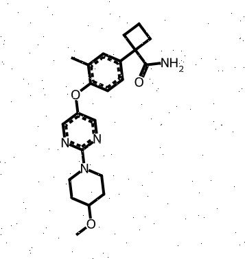 COC1CCN(c2ncc(Oc3ccc(C4(C(N)=O)CCC4)cc3C)cn2)CC1